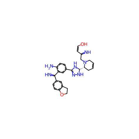 N=C(/C=C\O)CN1CC=CC[C@@H]1C1NN=C(c2ccc(N)c(C(=N)c3ccc4c(c3)CCO4)c2)N1